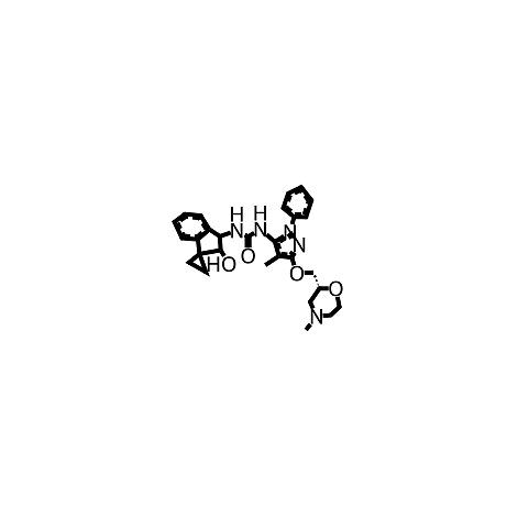 Cc1c(OC[C@H]2CN(C)CCO2)nn(-c2ccccc2)c1NC(=O)NC1c2ccccc2C2(CC2)C1O